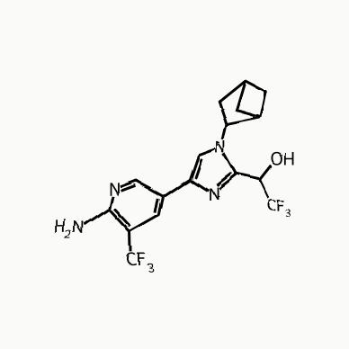 Nc1ncc(-c2cn(C3CC4CC3C4)c(C(O)C(F)(F)F)n2)cc1C(F)(F)F